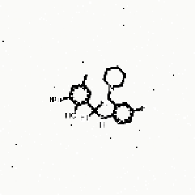 CCC(CC)(Pc1ccc(F)cc1CN1CCCCC1)c1cc(C)cc(C(C)(C)C)c1O